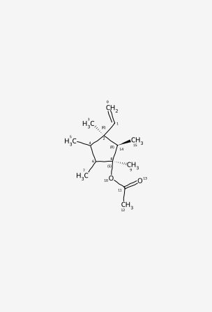 C=C[C@]1(C)C(C)C(C)[C@](C)(OC(C)=O)[C@@H]1C